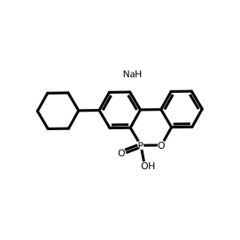 O=P1(O)Oc2ccccc2-c2ccc(C3CCCCC3)cc21.[NaH]